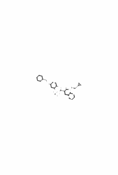 O=c1c(C2=NS(O)(O)c3cc(OCc4ccccc4)ccc3N2)c(O)c2ccccc2n1/N=C/C1CC1